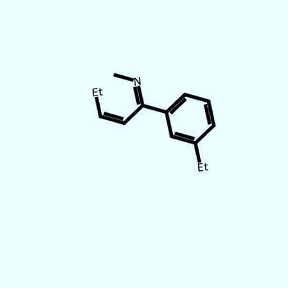 CC/C=C\C(=N/C)c1cccc(CC)c1